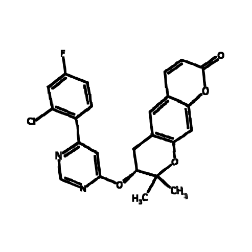 CC1(C)Oc2cc3oc(=O)ccc3cc2C[C@@H]1Oc1cc(-c2ccc(F)cc2Cl)ncn1